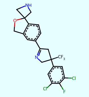 Fc1c(Cl)cc(C2(C(F)(F)F)CN=C(c3ccc4c(c3)COC43CNC3)C2)cc1Cl